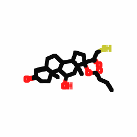 CCCC(=O)OC1(C(=O)CS)CCC2C3CCC4=CC(=O)CCC4(C)C3C(O)CC21C